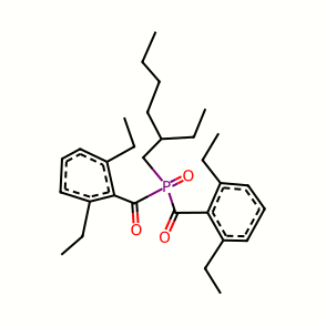 CCCCC(CC)CP(=O)(C(=O)c1c(CC)cccc1CC)C(=O)c1c(CC)cccc1CC